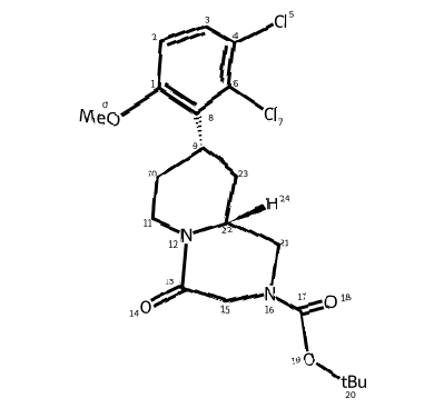 COc1ccc(Cl)c(Cl)c1[C@H]1CCN2C(=O)CN(C(=O)OC(C)(C)C)C[C@H]2C1